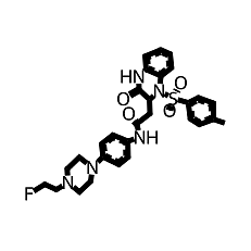 Cc1ccc(S(=O)(=O)N2c3ccccc3NC(=O)C2CC(=O)Nc2ccc(N3CCN(CCF)CC3)cc2)cc1